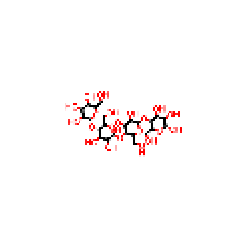 OCC1O[C@@H](O[C@@H]2C(CO)O[C@@H](O[C@@H]3C(CO)O[C@@H](O)C(O)C3O)C(O)[C@H]2O)C(O)C(O)[C@@H]1O[C@@H]1OC(CO)[C@@H](O)[C@H](O)C1O